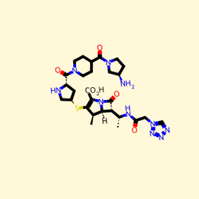 C[C@@H](NC(=O)Cn1cnnn1)[C@H]1C(=O)N2C(C(=O)O)=C(S[C@@H]3CN[C@H](C(=O)N4CCC(C(=O)N5CC[C@@H](N)C5)CC4)C3)[C@H](C)[C@H]12